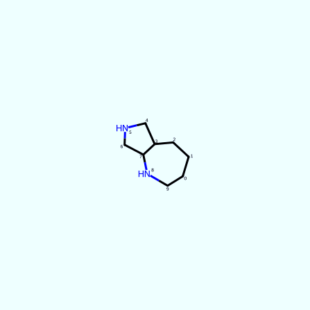 C1CCC2CNCC2NC1